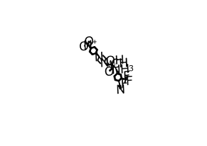 C[C@](O)(CN1CCN(c2ccc([N+](=O)[O-])cc2)CC1)C(=O)Nc1ccc(C#N)c(C(F)(F)F)c1